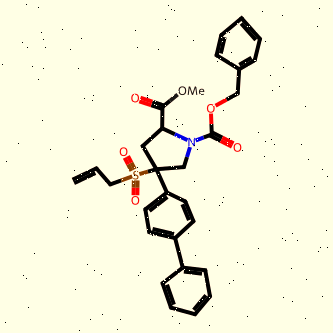 C=CCS(=O)(=O)C1(c2ccc(-c3ccccc3)cc2)CC(C(=O)OC)N(C(=O)OCc2ccccc2)C1